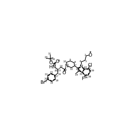 COCCCn1c(C2CCCN(C(=O)C[C@@H](Cc3ccc(Br)cc3)NC(=O)OC(C)(C)C)C2)c(C)c2c(F)ccc(Cl)c21